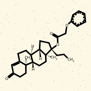 CCC[C@]1(OC(=O)COc2ccccc2)CC[C@H]2[C@@H]3CCC4=CC(=O)CC[C@]4(C)[C@H]3CC[C@@]21C